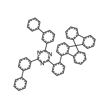 c1ccc(-c2cccc(-c3nc(-c4cccc(-c5ccccc5)c4)nc(-c4ccccc4-c4cccc5c4-c4ccccc4C54c5ccccc5-c5ccccc54)n3)c2)cc1